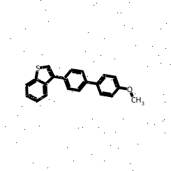 COc1ccc(-c2ccc(-c3csc4ccccc34)cc2)cc1